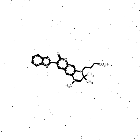 CC1=CC(C)(C)N(CCCC(=O)O)c2cc3oc(=O)c(-c4nc5ccccc5s4)cc3cc21